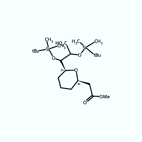 COC(=O)C[C@H]1CCC[C@@H](C(O[Si](C)(C)C(C)(C)C)C(O[Si](C)(C)C(C)(C)C)C(=O)O)O1